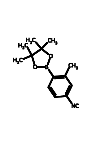 [C-]#[N+]c1ccc(B2OC(C)(C)C(C)(C)O2)c(C)c1